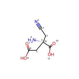 N#CC[C@](N)(CC(=O)O)C(=O)O